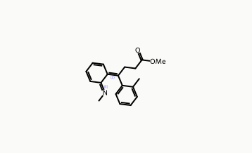 C/N=C1\C=CC=C\C1=C(/CCC(=O)OC)c1ccccc1C